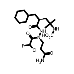 CC(C)(C[C@H](CC1CCCCC1)C(=O)NN(CCC(N)=O)C(=O)C(F)Cl)NC(=O)O